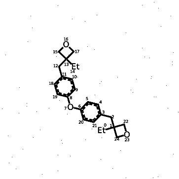 CCC1(Cc2ccc(Oc3ccc(CC4(CC)COC4)cc3)cc2)COC1